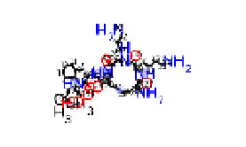 CC(C)C[C@H](NC(=O)[C@H](Cc1ccccc1)NC(=O)[C@@H]1C/C=C/C[C@H](N)C(=O)N[C@@H](CCCCN)C(=O)N[C@@H](CCCCN)C(=O)N1)C(=O)O